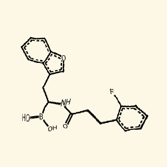 O=C(CCc1ccccc1F)NC(Cc1coc2ccccc12)B(O)O